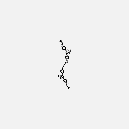 c1cc(-c2cc(-c3ccc(OCC4CC4)cc3)n[pH]2)ccc1CCCCCOc1ccc(-c2cc(-c3ccc(OCC4CC4)cc3)[pH]n2)cc1